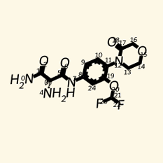 NC(=O)[C@@H](N)C(=O)Nc1ccc(N2CCOCC2=O)c(OC(F)F)c1